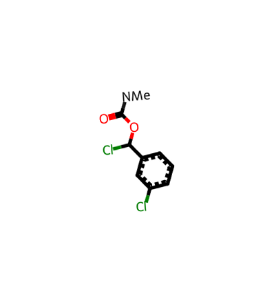 CNC(=O)OC(Cl)c1cccc(Cl)c1